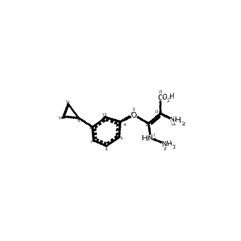 NN/C(Oc1cccc(C2CC2)c1)=C(\N)C(=O)O